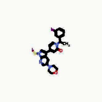 CC(c1cccc(I)c1)n1ccc(-c2cn(SI)c3ncc(N4CCOCC4)cc23)cc1=O